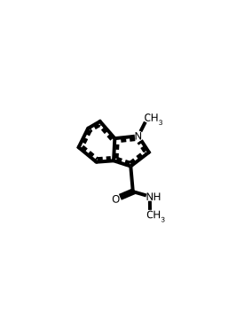 CNC(=O)c1cn(C)c2ccccc12